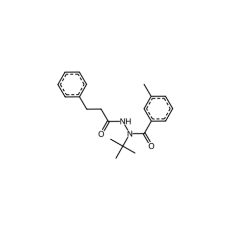 Cc1cccc(C(=O)N(NC(=O)CCc2ccccc2)C(C)(C)C)c1